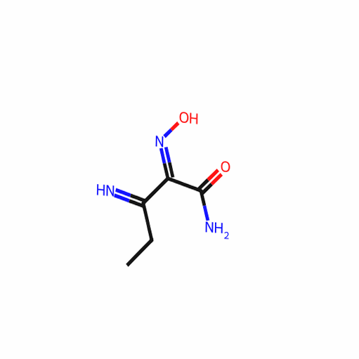 CCC(=N)/C(=N/O)C(N)=O